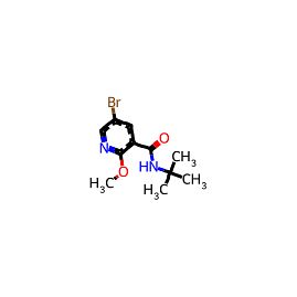 COc1ncc(Br)cc1C(=O)NC(C)(C)C